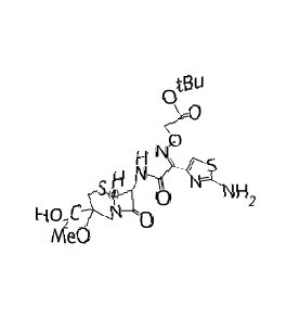 COC1(C(=O)O)CS[C@@H]2C(NC(=O)C(=NOCC(=O)OC(C)(C)C)c3csc(N)n3)C(=O)N2C1